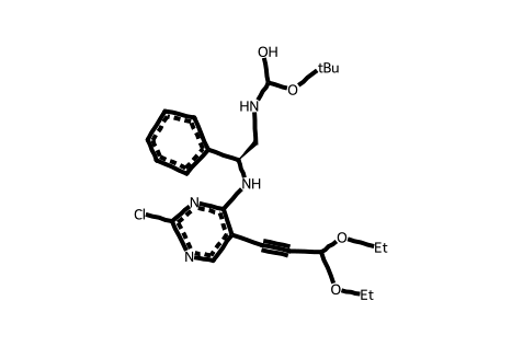 CCOC(C#Cc1cnc(Cl)nc1N[C@H](CNC(O)OC(C)(C)C)c1ccccc1)OCC